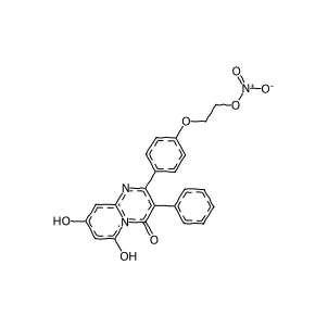 O=c1c(-c2ccccc2)c(-c2ccc(OCCO[N+](=O)[O-])cc2)nc2cc(O)cc(O)n12